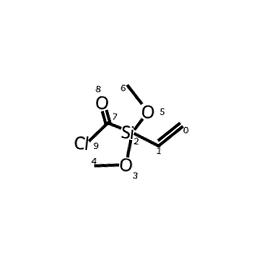 C=C[Si](OC)(OC)C(=O)Cl